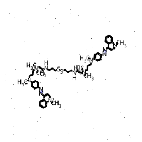 CN(CCC[N+](C)(C)CC(=O)NCCCSSCCCNC(=O)C[N+](C)(C)CCCN(C)c1ccc(/N=N/c2cc[n+](C)c3ccccc23)cc1)c1ccc(/N=N/c2cc[n+](C)c3ccccc23)cc1